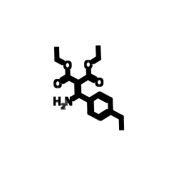 CCOC(=O)C(C(=O)OCC)=C(N)c1ccc(CC)cc1